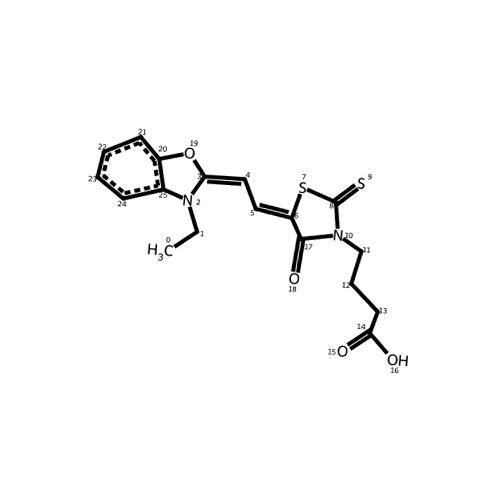 CCN1C(=CC=C2SC(=S)N(CCCC(=O)O)C2=O)Oc2ccccc21